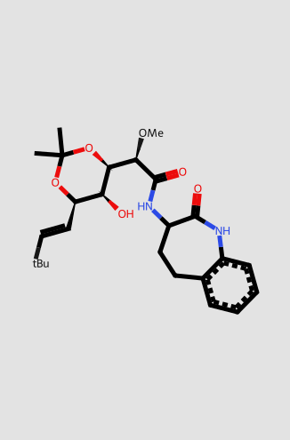 CO[C@@H](C(=O)NC1CCc2ccccc2NC1=O)[C@@H]1OC(C)(C)O[C@H](C=CC(C)(C)C)[C@@H]1O